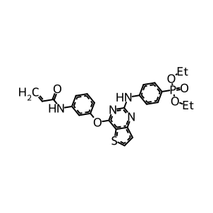 C=CC(=O)Nc1cccc(Oc2nc(Nc3ccc(P(=O)(OCC)OCC)cc3)nc3ccsc23)c1